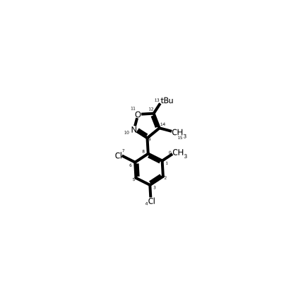 Cc1cc(Cl)cc(Cl)c1-c1noc(C(C)(C)C)c1C